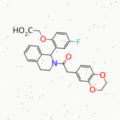 O=C(O)COc1ccc(F)cc1C1c2ccccc2CCN1C(=O)Cc1ccc2c(c1)OCCO2